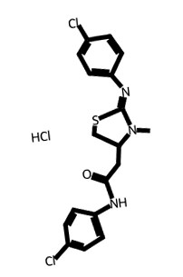 CN1C(=Nc2ccc(Cl)cc2)SCC1CC(=O)Nc1ccc(Cl)cc1.Cl